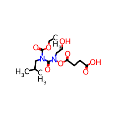 CCOC(=O)N(CC(C)C)C(=O)N(CCO)OC(=O)CCC(=O)O